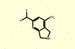 Cc1cc(C(F)F)nc2c1CNC2